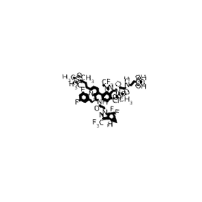 CC(C)(CCc1ccc(-c2ccc(Cl)c3c(N(C(=O)C(=O)NCCP(=O)(O)O)S(C)(=O)=O)nn(CC(F)(F)F)c23)c([C@H](Cc2cc(F)cc(F)c2)NC(=O)Cn2nc(C(F)(F)F)c3c2C(F)(F)C2C[C@H]32)n1)S(C)(=O)=O